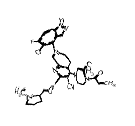 C=CC(=O)N1CCN(c2c(C#N)c(OCC3CCCN3C)nc3c2CCN(c2c(Cl)c(F)cc4[nH]ncc24)C3)CC1C